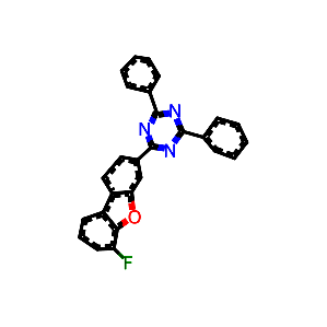 Fc1cccc2c1oc1cc(-c3nc(-c4ccccc4)nc(-c4ccccc4)n3)ccc12